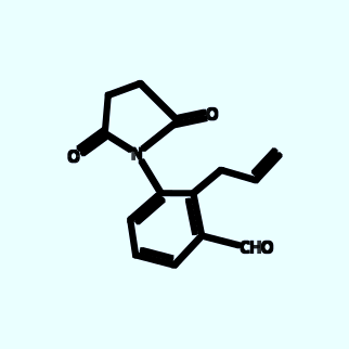 C=CCc1c(C=O)cccc1N1C(=O)CCC1=O